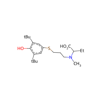 CCC(C(=O)O)N(C)CCCSc1cc(C(C)(C)C)c(O)c(C(C)(C)C)c1